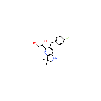 CC1(C)CNc2cc(Cc3ccc(F)cc3)c([C@@H](O)CO)nc21